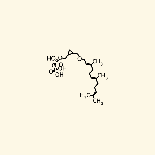 CC(C)=CCC/C(C)=C/CC/C(C)=C/COCC1CC1COP(=O)(O)OP(=O)(O)O